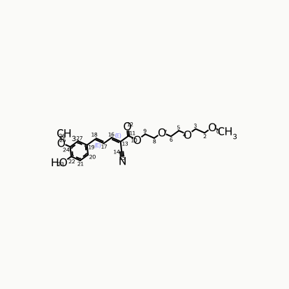 COCCOCCOCCOC(=O)/C(C#N)=C/C=C/c1ccc(O)c(OC)c1